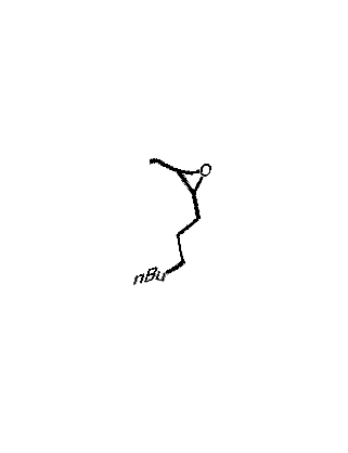 CCCCCCCC1OC1C